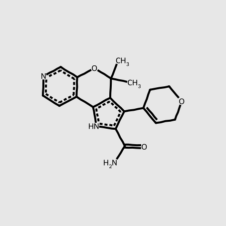 CC1(C)Oc2cnccc2-c2[nH]c(C(N)=O)c(C3=CCOCC3)c21